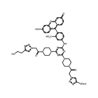 CCCCCc1cn(CC(=O)N2CCN(c3nc(Nc4ccc(-c5c6ccc(=O)cc-6oc6cc(O)ccc56)c(C(=O)O)c4)nc(N4CCN(C(=O)Cn5cc(CCO)nn5)CC4)n3)CC2)nn1